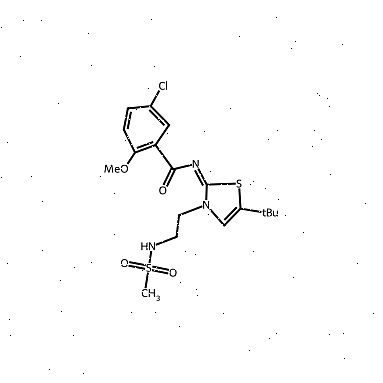 COc1ccc(Cl)cc1C(=O)N=c1sc(C(C)(C)C)cn1CCNS(C)(=O)=O